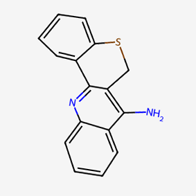 Nc1c2c(nc3ccccc13)-c1ccccc1SC2